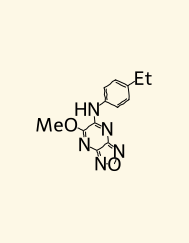 CCc1ccc(Nc2nc3nonc3nc2OC)cc1